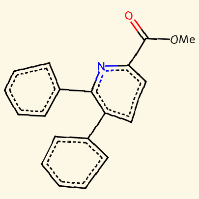 COC(=O)c1ccc(-c2ccccc2)c(-c2ccccc2)n1